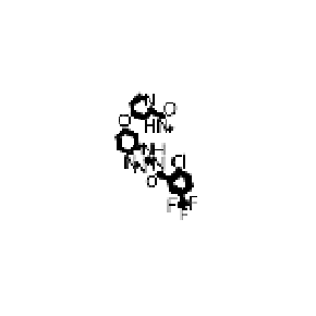 CNC(=O)c1cc(Oc2ccc3nnc(NC(=O)c4cc(C(F)(F)F)ccc4Cl)nc3c2)ccn1